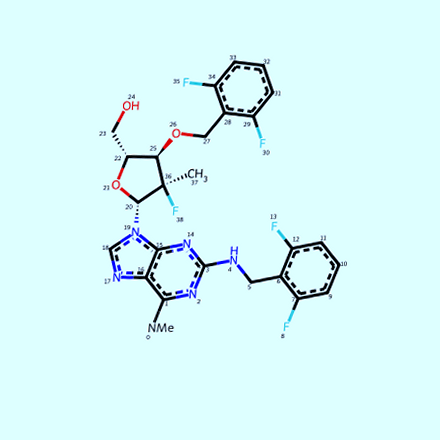 CNc1nc(NCc2c(F)cccc2F)nc2c1ncn2[C@@H]1O[C@H](CO)[C@@H](OCc2c(F)cccc2F)[C@@]1(C)F